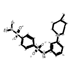 CCN(CC)S(=O)(=O)c1ccc(S(=O)(=O)Nc2cccc(N3CCC(C)CC3)c2)cc1